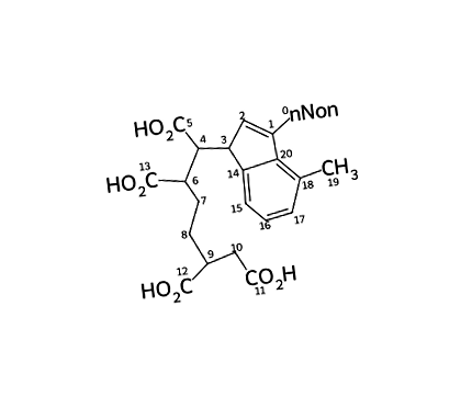 CCCCCCCCCC1=CC(C(C(=O)O)C(CCC(CC(=O)O)C(=O)O)C(=O)O)c2cccc(C)c21